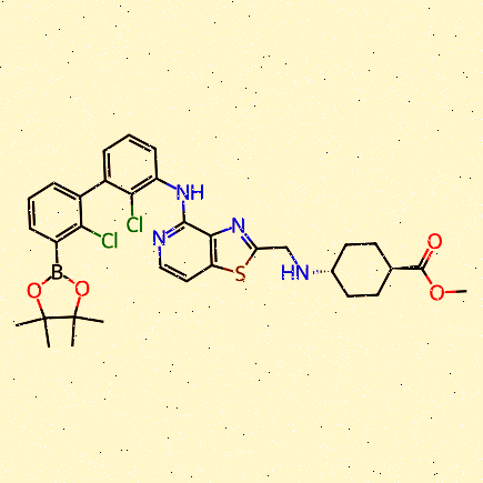 COC(=O)[C@H]1CC[C@H](NCc2nc3c(Nc4cccc(-c5cccc(B6OC(C)(C)C(C)(C)O6)c5Cl)c4Cl)nccc3s2)CC1